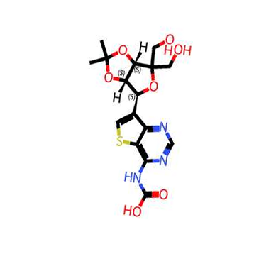 CC1(C)O[C@H]2[C@H](c3csc4c(NC(=O)O)ncnc34)OC(CO)(CO)[C@H]2O1